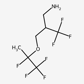 CC(F)(OCC(CN)C(F)(F)F)C(F)(F)F